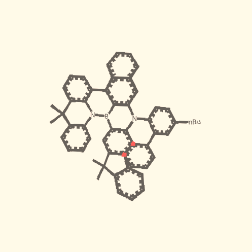 CCCCc1ccc(N2c3cc4c(cc3B3c5c2cc2ccccc2c5-c2cccc5c2N3c2ccccc2C5(C)C)C(C)(C)c2ccccc2-4)c(-c2ccccc2)c1